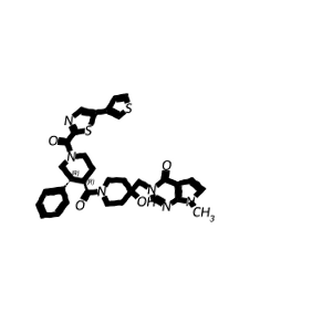 Cn1ccc2c(=O)n(CC3(O)CCN(C(=O)[C@@H]4CCN(C(=O)c5ncc(-c6ccsc6)s5)C[C@H]4c4ccccc4)CC3)cnc21